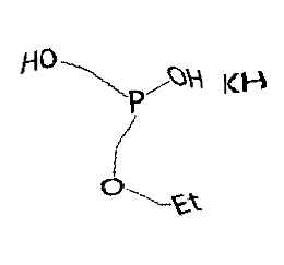 CCOP(O)O.[KH]